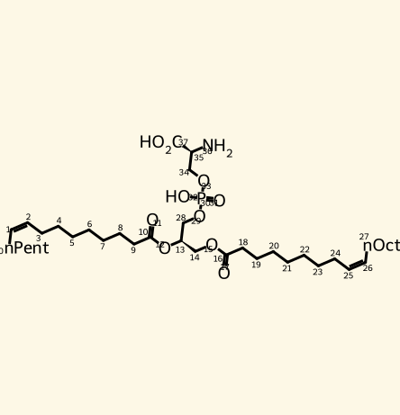 CCCCC/C=C\CCCCCCCC(=O)O[C@H](COC(=O)CCCCCCC/C=C\CCCCCCCC)COP(=O)(O)OC[C@H](N)C(=O)O